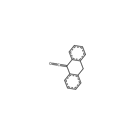 O=C=C1c2ccccc2Cc2ccccc21